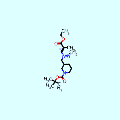 C=NN(/C=C(\C)C(=O)OCC)CC1CCCN(C(=O)OC(C)(C)C)C1